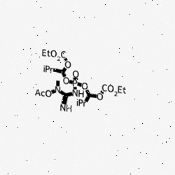 CCOC(=O)OC(OP(=O)(NC(=N)N(C)OC(C)=O)OC(OC(=O)OCC)C(C)C)C(C)C